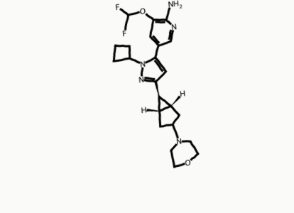 Nc1ncc(-c2cc([C@H]3[C@@H]4CC(N5CCOCC5)C[C@@H]43)nn2C2CCC2)cc1OC(F)F